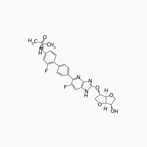 C[SH](C)(=O)Nc1ccc(-c2ccc(-c3nc4nc(O[C@@H]5CO[C@H]6[C@@H]5OC[C@H]6O)[nH]c4cc3F)cc2)c(F)c1